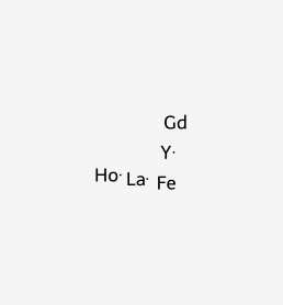 [Fe].[Gd].[Ho].[La].[Y]